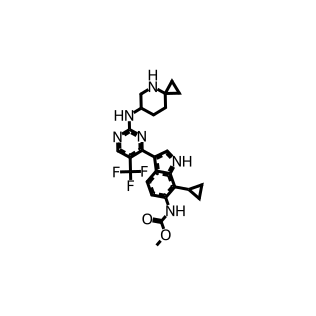 COC(=O)Nc1ccc2c(-c3nc(NC4CCC5(CC5)NC4)ncc3C(F)(F)F)c[nH]c2c1C1CC1